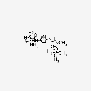 Cc1nsc(N)c1C(=O)Nc1ccc(NCCN(C)C(=O)CC(C)(C)C)nc1